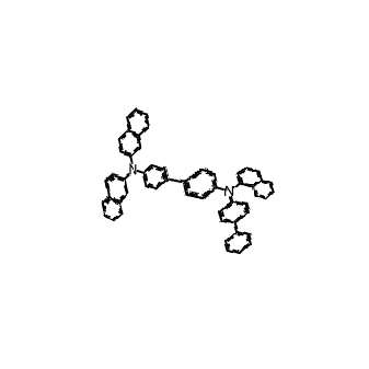 c1ccc(-c2ccc(N(c3ccc(-c4ccc(N(c5ccc6ccccc6c5)c5ccc6ccccc6c5)cc4)cc3)c3cccc4ccccc34)cc2)cc1